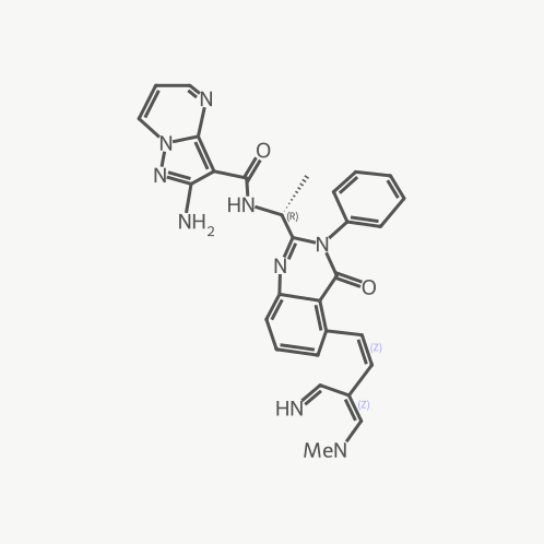 CN/C=C(C=N)/C=C\c1cccc2nc([C@@H](C)NC(=O)c3c(N)nn4cccnc34)n(-c3ccccc3)c(=O)c12